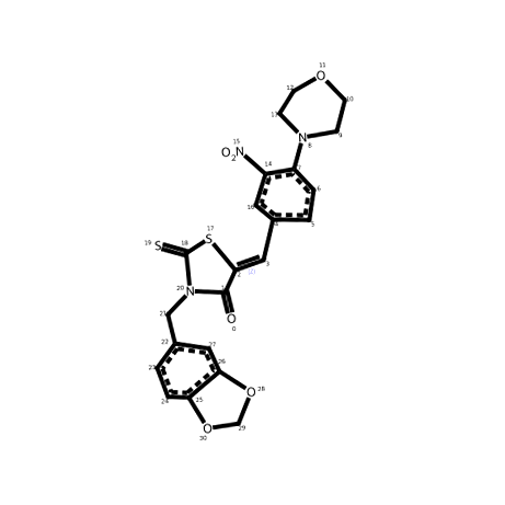 O=C1/C(=C/c2ccc(N3CCOCC3)c([N+](=O)[O-])c2)SC(=S)N1Cc1ccc2c(c1)OCO2